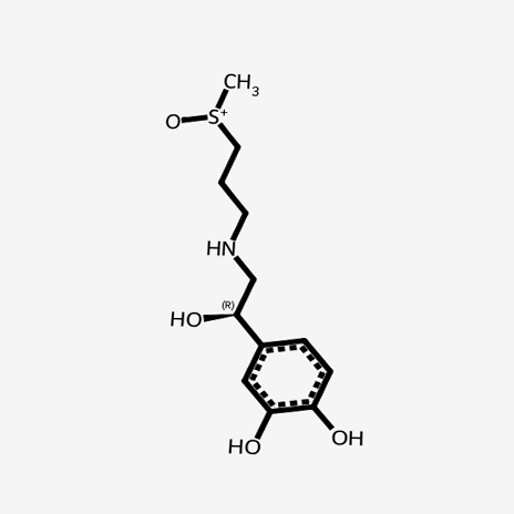 C[S+]([O-])CCCNC[C@H](O)c1ccc(O)c(O)c1